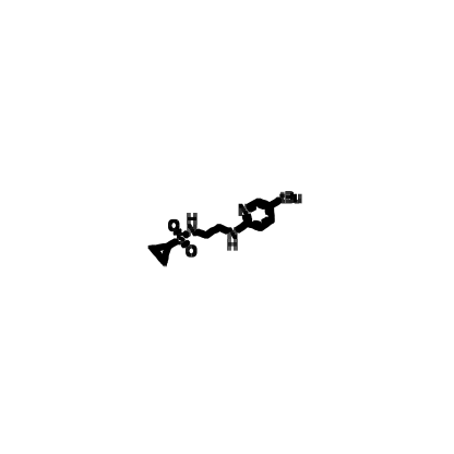 CC(C)(C)c1ccc(NCCNS(=O)(=O)C2CC2)nc1